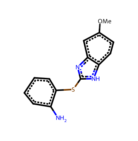 COc1ccc2[nH]c(Sc3ccccc3N)nc2c1